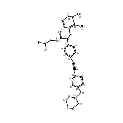 O=C(NCC(F)F)C(CC1=C(O)C(O)NC=N1)c1ccc(C#Cc2ccc(CN3CCOCC3)cc2)cc1